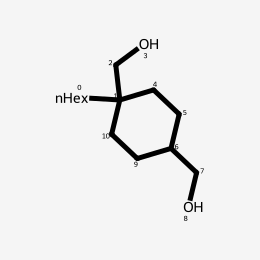 CCCCCCC1(CO)CCC(CO)CC1